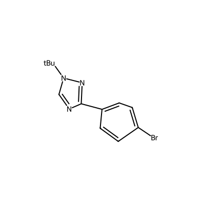 CC(C)(C)n1cnc(-c2ccc(Br)cc2)n1